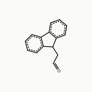 O=[C]CC1c2ccccc2-c2ccccc21